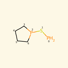 PSP1CCCC1